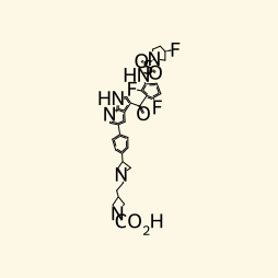 O=C(c1c(F)ccc(NS(=O)(=O)N2CC[C@@H](F)C2)c1F)c1c[nH]c2ncc(-c3ccc(C4CN(CCC5CN(C(=O)O)C5)C4)cc3)cc12